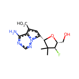 CC1(C)[C@H](F)[C@@H](CO)O[C@H]1c1cc(C(=O)O)c2c(N)ncnn12